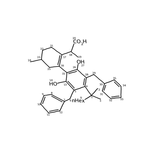 CCCCCCC(C)(C)c1c(Cc2ccccc2)c(O)c(C2=C(C(C)C(=O)O)CCC(C)C2)c(O)c1Cc1ccccc1